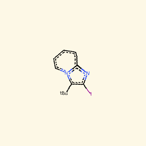 CC(C)(C)c1c(I)nc2ccccn12